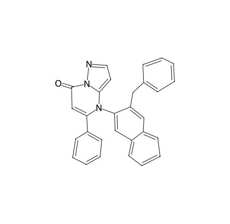 O=c1cc(-c2ccccc2)n(-c2cc3ccccc3cc2Cc2ccccc2)c2ccnn12